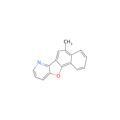 Cc1cc2c3ncccc3oc2c2ccccc12